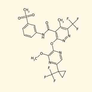 COc1nc(C2(C(F)(F)F)CC2)cnc1Oc1nnc(C(F)(F)F)c(C)c1C(=O)Nc1cccc(S(C)(=O)=O)c1